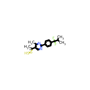 Cc1nc(-c2ccc(C(F)(F)C(C)C)cc2)ncc1[C@H](C)SS